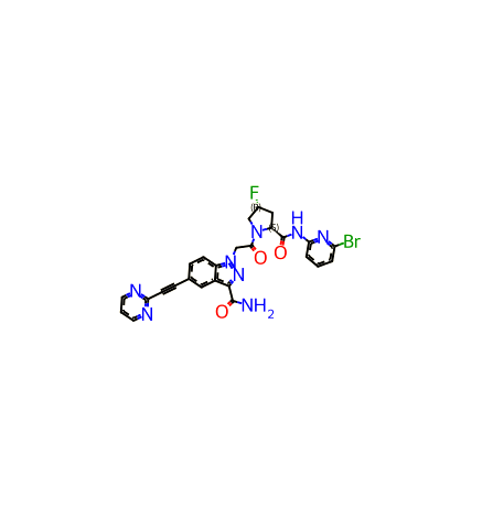 NC(=O)c1nn(CC(=O)N2C[C@H](F)C[C@H]2C(=O)Nc2cccc(Br)n2)c2ccc(C#Cc3ncccn3)cc12